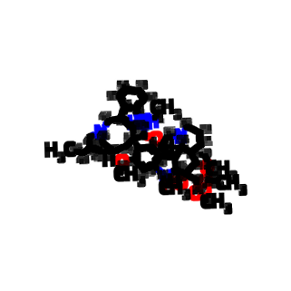 CCNC(=O)[C@]1(c2cc3c(cc2OC)N(C)[C@H]2C(O)(C(=O)OC)[C@H](OC(C)=O)[C@]4(CC)C=CCN5CCC32[C@@H]54)C[C@@H]2C=C(CC)CN(Cc3c1[nH]c1ccccc31)C2